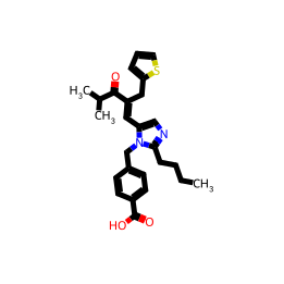 CCCCc1ncc(/C=C(\Cc2cccs2)C(=O)C(C)C)n1Cc1ccc(C(=O)O)cc1